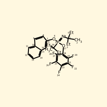 CCC(C)(CC)N=P(Oc1ccc2ccccc2c1)(Oc1c(F)c(F)c(F)c(F)c1F)C(C)(CC)CC